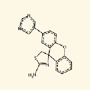 NC1=NC2(CS1)c1ccccc1Oc1ccc(-c3cncnc3)cc12